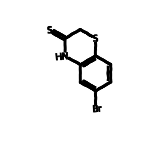 S=C1CSc2ccc(Br)cc2N1